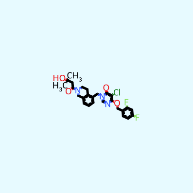 CC(C)(O)CC(=O)N1CCc2c(cccc2Cn2cnc(OCc3ccc(F)cc3F)c(Cl)c2=O)C1